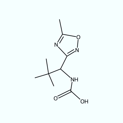 Cc1nc(C(NC(=O)O)C(C)(C)C)no1